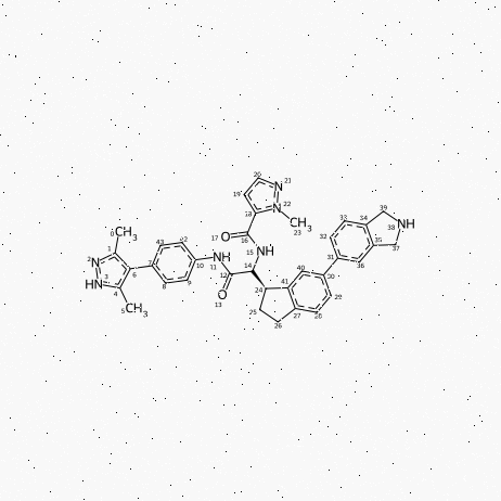 Cc1n[nH]c(C)c1-c1ccc(NC(=O)C(NC(=O)c2ccnn2C)[C@@H]2CCc3ccc(-c4ccc5c(c4)CNC5)cc32)cc1